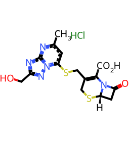 Cc1cc(SCC2=C(C(=O)O)N3C(=O)C[C@@H]3SC2)n2nc(CO)nc2n1.Cl